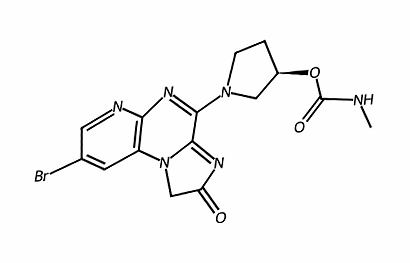 CNC(=O)O[C@@H]1CCN(C2=Nc3ncc(Br)cc3N3CC(=O)N=C23)C1